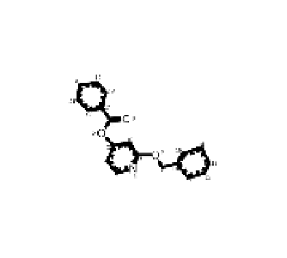 O=C(Oc1ccnc(OCc2ccccc2)c1)c1ccccc1